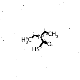 CCN(CC)C(=O)S